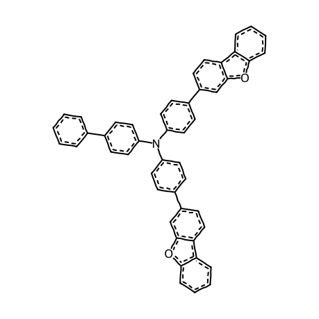 c1ccc(-c2ccc(N(c3ccc(-c4ccc5c(c4)oc4ccccc45)cc3)c3ccc(-c4ccc5c(c4)oc4ccccc45)cc3)cc2)cc1